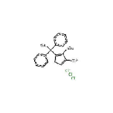 CCCCC1=C(C(c2ccccc2)(c2ccccc2)C(C)(C)C)CC=[C]1[Ti+3].[Cl-].[Cl-].[Cl-]